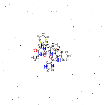 CNC(=O)[C@@H]1CC2(CN1C(=O)[C@@H](NC(=O)[C@@H](NC(=O)c1cnccn1)C1CCCCC1)C(C)(C)C)SCCCS2